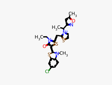 CCn1c(=O)/c(=C2\Sc3cc(Cl)ccc3N2C)s/c1=C\c1scc[n+]1C(C)c1cc(C)on1